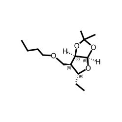 CCCCOC[C@H]1[C@H]2OC(C)(C)O[C@H]2O[C@@H]1CC